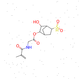 C=C(C)C(=O)NCC(=O)OC1C2CC(C1O)C([SH](=O)=O)C2